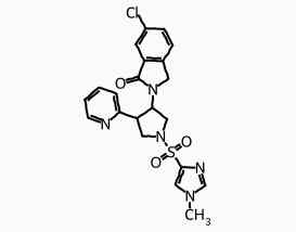 Cn1cnc(S(=O)(=O)N2CC(c3ccccn3)C(N3Cc4ccc(Cl)cc4C3=O)C2)c1